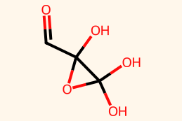 O=CC1(O)OC1(O)O